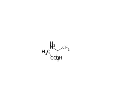 CC(=O)O.NC(=O)C(F)(F)F